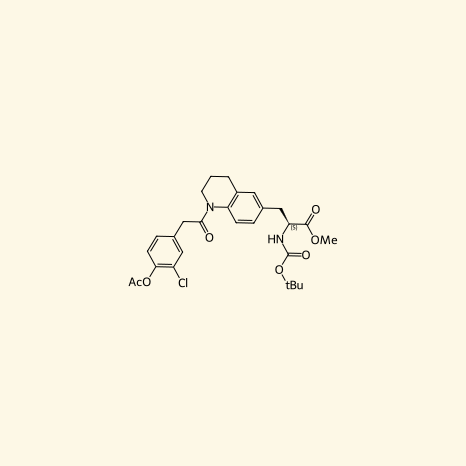 COC(=O)[C@H](Cc1ccc2c(c1)CCCN2C(=O)Cc1ccc(OC(C)=O)c(Cl)c1)NC(=O)OC(C)(C)C